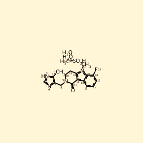 CS(=O)(=O)O.Cc1[nH]cnc1CN1CCc2c(c3cccc(F)c3n2C)C1=O.O.O